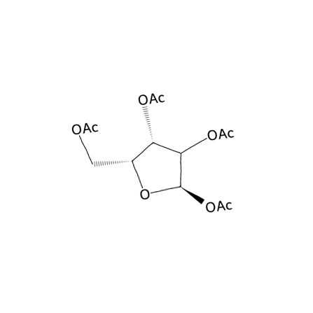 CC(=O)OC[C@H]1O[C@H](OC(C)=O)C(OC(C)=O)[C@H]1OC(C)=O